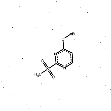 CCCCOc1ccnc(S(C)(=O)=O)n1